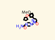 COc1ccc(C2=NN(CN3C[CH]N(CC(N)=O)CC3)C(=O)CC2)cc1OC1CCCC1